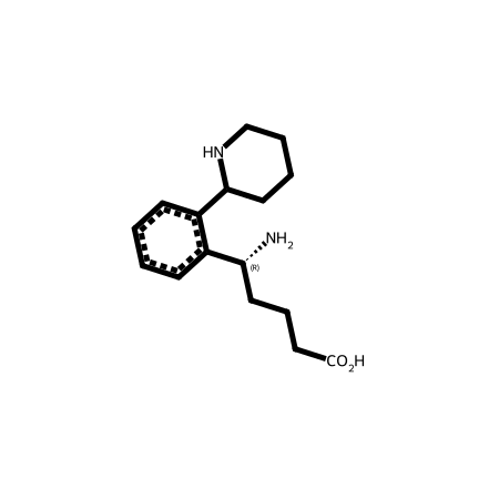 N[C@H](CCCC(=O)O)c1ccccc1C1CCCCN1